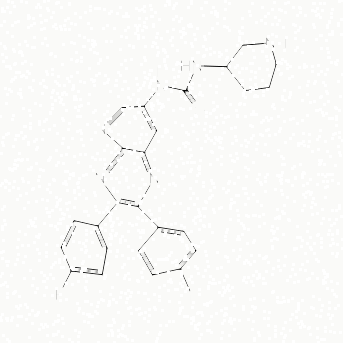 O=C(Nc1cnc2nc(-c3ccc(F)cc3)c(-c3ccc(F)cc3)nc2c1)NC1CCCNC1